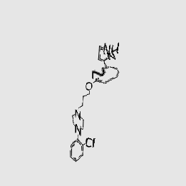 Clc1ccccc1N1CCN(CCCCOc2cccc(-c3cc[nH]n3)n2)CC1